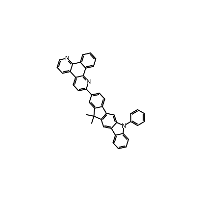 CC1(C)c2cc(-c3ccc4c5cccnc5c5ccccc5c4n3)ccc2-c2cc3c(cc21)c1ccccc1n3-c1ccccc1